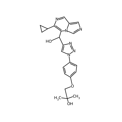 CC(C)(O)COc1ccc(-n2cc(C(O)c3c(C4CC4)ncc4cncn34)nn2)cc1